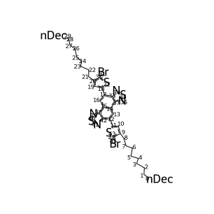 CCCCCCCCCCCCCCCCCCc1cc(-c2cc3c(cc(-c4cc(CCCCCCCCCCCCCCCCCC)c(Br)s4)c4nsnc43)c3nsnc23)sc1Br